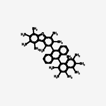 Bc1c(B)c(B)c2c(oc3c(B)c(B)c(-c4c5ccccc5c(-c5c(B)c(B)c(B)c6c(B)c(B)c(B)c(B)c56)c5ccccc45)c(B)c32)c1B